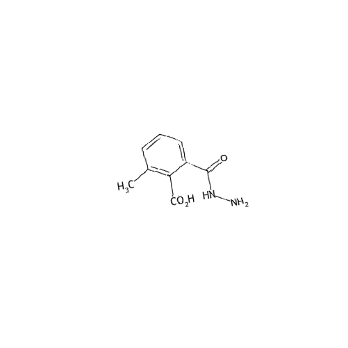 Cc1cccc(C(=O)NN)c1C(=O)O